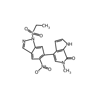 CCS(=O)(=O)n1ncc2cc([N+](=O)[O-])c(-c3cn(C)c(=O)c4[nH]ccc34)cc21